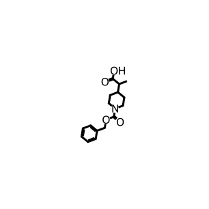 CC(C(=O)O)C1CCN(C(=O)OCc2ccccc2)CC1